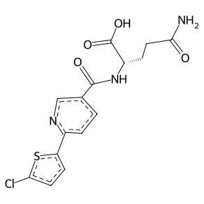 NC(=O)CC[C@H](NC(=O)c1ccc(-c2ccc(Cl)s2)nc1)C(=O)O